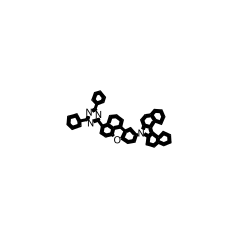 c1ccc(-c2nc(-c3ccccc3)nc(-c3ccc4c5c(cccc35)-c3cc(-n5c6ccc7ccccc7c6c6c7ccccc7ccc65)ccc3O4)n2)cc1